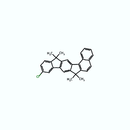 CC1(C)c2ccc(Cl)cc2-c2cc3c(cc21)-c1c(ccc2ccccc12)C3(C)C